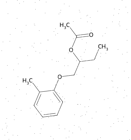 CCC(COc1ccccc1C)OC(C)=O